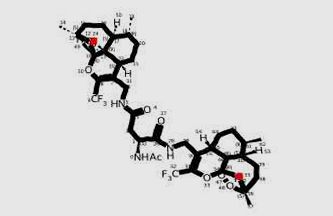 CC(=O)N[C@@H](CC(=O)NCC1=C(C(F)(F)F)O[C@@H]2O[C@]3(C)CC[C@H]4[C@H](C)CC[C@@H]1[C@@]24OO3)C(=O)NCC1=C(C(F)(F)F)O[C@@H]2O[C@]3(C)CC[C@H]4[C@H](C)CC[C@@H]1[C@@]24OO3